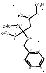 O=CNC(C[C@@H](O)CC(=O)O)(NC=O)OCc1ccccc1